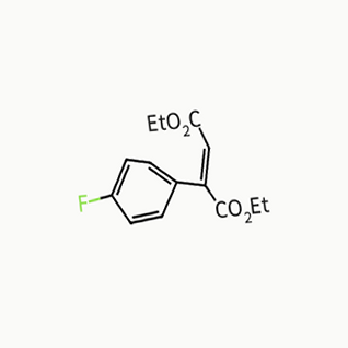 CCOC(=O)/C=C(/C(=O)OCC)c1ccc(F)cc1